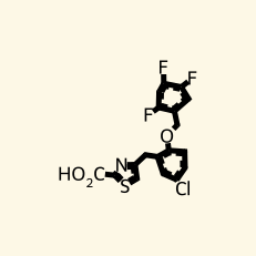 O=C(O)c1nc(Cc2cc(Cl)ccc2OCc2cc(F)c(F)cc2F)cs1